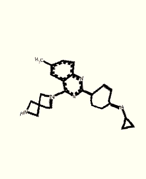 Cc1ccc2nc(C3CCC(=NC4CC4)CC3)nc(N3CC4(CNC4)C3)c2c1